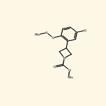 CC(C)(C)OC(=O)N1CC(c2cc(Cl)ccc2OSC(C)(C)C)C1